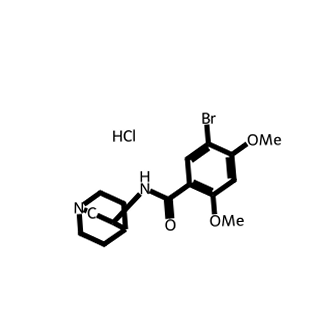 COc1cc(OC)c(C(=O)NC2CN3CCC2CC3)cc1Br.Cl